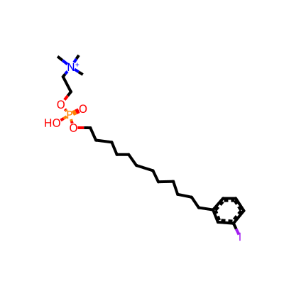 C[N+](C)(C)CCOP(=O)(O)OCCCCCCCCCCCCc1cccc(I)c1